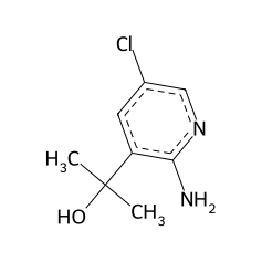 CC(C)(O)c1cc(Cl)cnc1N